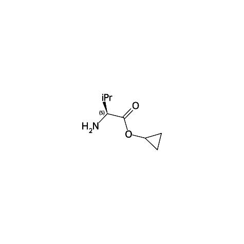 CC(C)[C@H](N)C(=O)OC1CC1